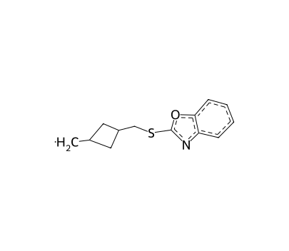 [CH2]C1CC(CSc2nc3ccccc3o2)C1